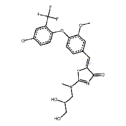 COc1cc(/C=C2\SC(N(C)CC(O)CO)=NC2=O)ccc1Oc1ccc(Cl)cc1C(F)(F)F